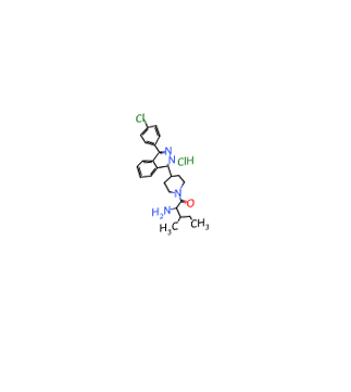 CCC(C)C(N)C(=O)N1CCC(c2nnc(-c3ccc(Cl)cc3)c3ccccc23)CC1.Cl